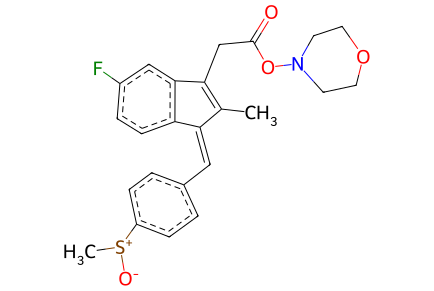 CC1=C(CC(=O)ON2CCOCC2)c2cc(F)ccc2/C1=C\c1ccc([S+](C)[O-])cc1